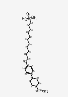 CCCCCC1CCC(c2ccc(OCCCCCCCCCCCP(=O)(O)O)cc2)CC1